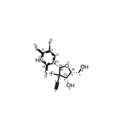 C#CC1(F)[C@@H](O)[C@@H](CO)O[C@H]1n1cc(F)c(=S)[nH]c1=S